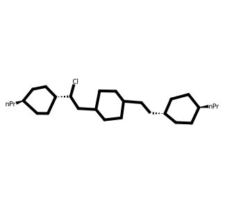 CCC[C@H]1CC[C@H](CCC2CCC(CC(Cl)[C@H]3CC[C@H](CCC)CC3)CC2)CC1